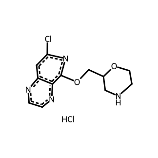 Cl.Clc1cc2nccnc2c(OCC2CNCCO2)n1